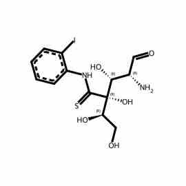 N[C@@H](C=O)[C@@H](O)[C@](O)(C(=S)Nc1ccccc1I)[C@H](O)CO